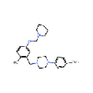 COc1ccc(N2CCN(Cc3cc(NCN4CCCCC4)ccc3C#N)CC2)cc1